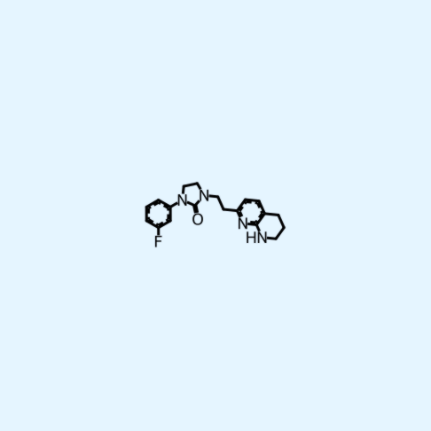 O=C1N(CCc2ccc3c(n2)NCCC3)CCN1c1cccc(F)c1